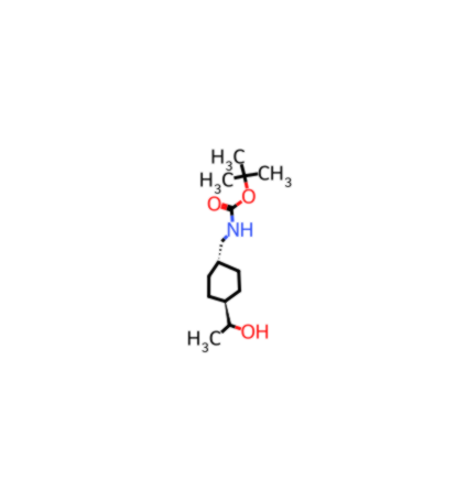 CC(O)[C@H]1CC[C@H](CNC(=O)OC(C)(C)C)CC1